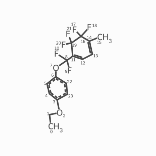 CCOc1ccc(OC(F)(F)C2=CC=C(C)C(F)(F)C2(F)F)cc1